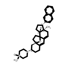 C[C@]12CC=C3C=C4CC[C@H](N5CC[N+](C)([O-])CC5)C[C@]45CCC3(O5)[C@@H]1CC[C@@H]2c1ccc2ccccc2c1